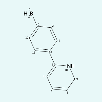 Bc1ccc(C2=CC=CCN2)cc1